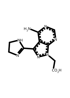 Nc1ncnc2c1c(C1=NCCN1)nn2CC(=O)O